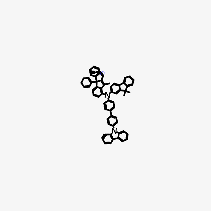 C#C/C=C\C1=C(C)c2c(N(c3ccc(-c4ccc(-n5c6c#cccc6c6ccccc65)cc4)cc3)c3ccc4c(c3)C(C)(C)c3ccccc3-4)cccc2C1(C1=CCCC=C1)c1ccccc1